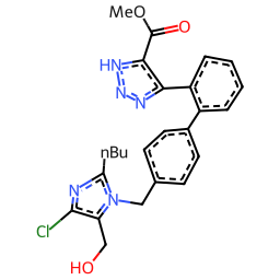 CCCCc1nc(Cl)c(CO)n1Cc1ccc(-c2ccccc2-c2nn[nH]c2C(=O)OC)cc1